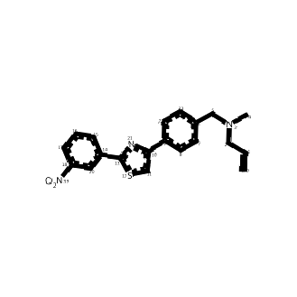 C=CCN(C)Cc1ccc(-c2csc(-c3cccc([N+](=O)[O-])c3)n2)cc1